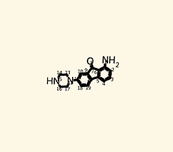 Nc1cccc2c1C(=O)c1cc(N3CCNCC3)ccc1-2